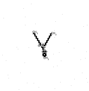 CCCCCCCCCCCC(=O)OCC(COS(=O)(=O)c1ccc(C)cc1)OC(=O)CCCCCCCCCCC